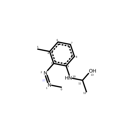 C/N=N\c1c(C)cccc1NC(C)O